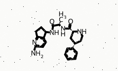 C[C@H](NC(=O)[C@H]1C[C@@H](c2ccccc2)CCN1)C(=O)NC1CCc2nc(N)ccc21